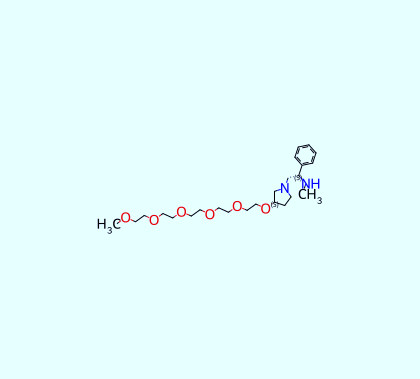 CN[C@H](CN1CC[C@H](OCCOCCOCCOCCOCCOC)C1)c1ccccc1